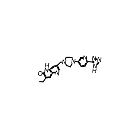 CCc1cc2ncc(CN3CCN(c4ccc(-c5nnc[nH]5)nc4)CC3)cc2[nH]c1=O